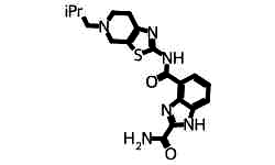 CC(C)CN1CCc2nc(NC(=O)c3cccc4[nH]c(C(N)=O)nc34)sc2C1